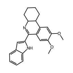 COc1cc2c(cc1OC)C1CCCCC1N=C2c1cc2ccccc2[nH]1